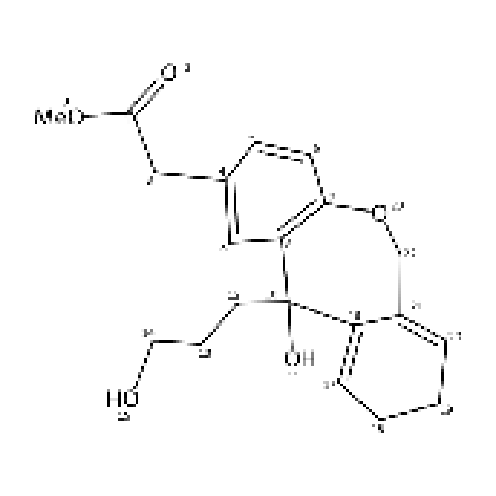 COC(=O)Cc1ccc2c(c1)C(O)(CCCO)C1=CCCC=C1CO2